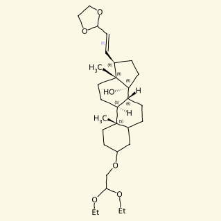 CCOC(COC1CC[C@@]2(C)C(CC[C@@H]3[C@@H]2CC[C@]2(C)[C@@H](/C=C/C4OCCO4)CC[C@@]32O)C1)OCC